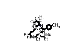 CCCCC(CC)CN(CC(CC)CCCC)c1nc(-c2ccc(C)cc2)c(/N=C2/C(C)=C(C#N)C(=O)n3nc(CCC(CC)CC)nc32)s1